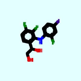 OCC(O)c1ccc(F)c(F)c1Nc1ccc(I)cc1F